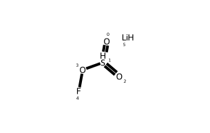 O=[SH](=O)OF.[LiH]